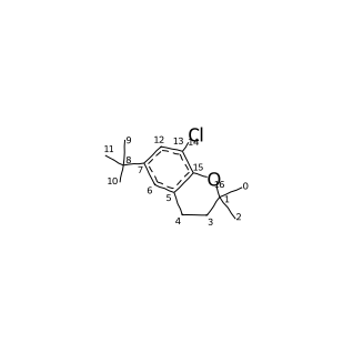 CC1(C)CCc2cc(C(C)(C)C)cc(Cl)c2O1